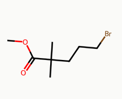 COC(=O)C(C)(C)CCCBr